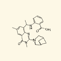 Cc1cc(C(C)Nc2ccccc2C(=O)O)c2nc(N3CC4CC(C4)C3)n(C)c(=O)c2c1